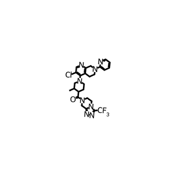 CC1CN(c2c(Cl)cnc3c2CCN(c2ccccn2)C3)CCC1C(=O)N1CCn2c(nnc2C(F)(F)F)C1